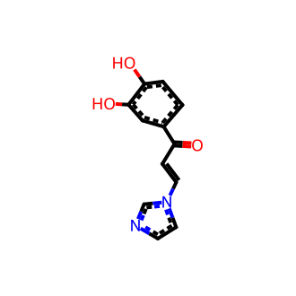 O=C(C=Cn1ccnc1)c1ccc(O)c(O)c1